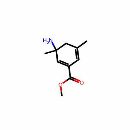 COC(=O)C1=CC(C)(N)CC(C)=C1